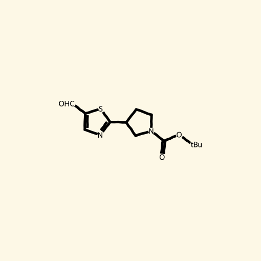 CC(C)(C)OC(=O)N1CCC(c2ncc(C=O)s2)C1